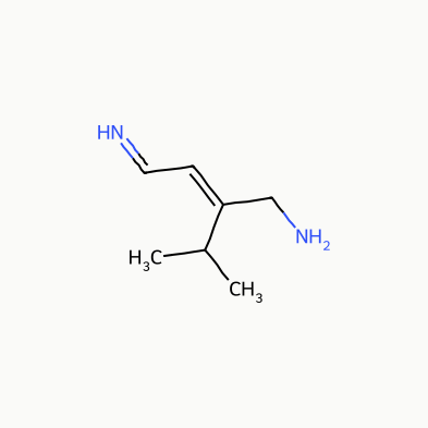 CC(C)/C(=C\C=N)CN